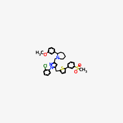 COc1cccc(C2CCCCCN2Cc2cc(Cc3ccc(-c4cccc(S(C)(=O)=O)c4)s3)n(-c3ccccc3Cl)n2)c1